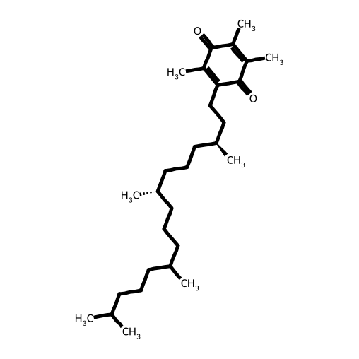 CC1=C(C)C(=O)C(CC[C@@H](C)CCC[C@@H](C)CCCC(C)CCCC(C)C)=C(C)C1=O